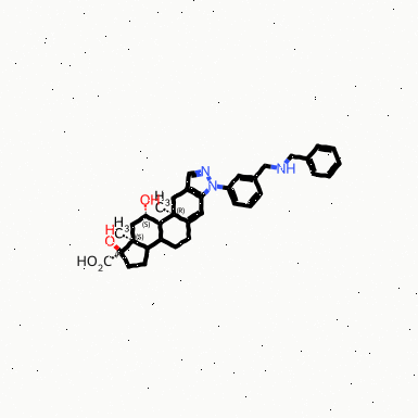 C[C@]12Cc3cnn(-c4cccc(CNCc5ccccc5)c4)c3C=C1CCC1C2[C@@H](O)C[C@@]2(C)C1CC[C@]2(O)C(=O)O